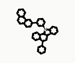 c1ccc(-c2cc3c4ccccc4n(-c4cccc(-c5ccc6ccc7ccccc7c6c5)c4)c3c3ccccc23)cc1